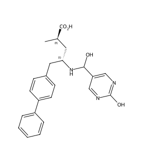 C[C@H](C[C@@H](Cc1ccc(-c2ccccc2)cc1)NC(O)c1cnc(O)nc1)C(=O)O